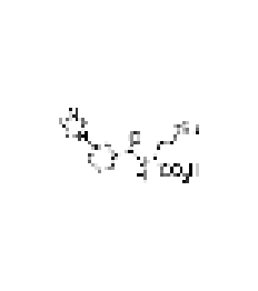 CC(C)(C)C=CC(NC(=O)c1cccc(-n2cnnc2)c1)C(=O)O